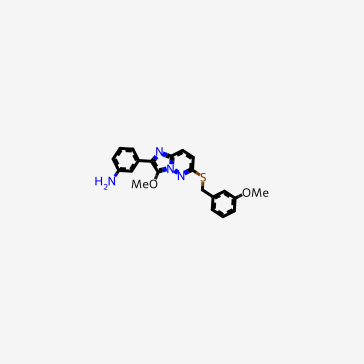 COc1cccc(CSc2ccc3nc(-c4cccc(N)c4)c(OC)n3n2)c1